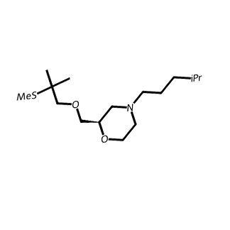 CSC(C)(C)COC[C@H]1CN(CCCC(C)C)CCO1